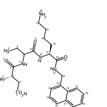 CC(=O)N[C@@H](CC(=O)O)C(=O)NC(CS)C(=O)N[C@@H](CCCCN)C(=O)NCc1cccc2ccccc12